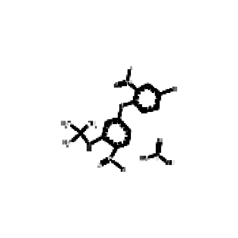 CC(C)(C)Nc1cc(Oc2ccc(Cl)cc2[N+](=O)[O-])ccc1[N+](=O)[O-].O=[PH](O)O